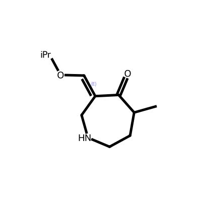 CC(C)O/C=C1\CNCCC(C)C1=O